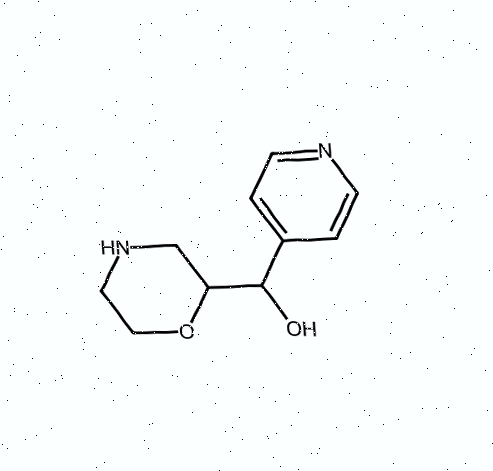 OC(c1ccncc1)C1CNCCO1